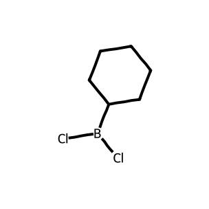 ClB(Cl)C1CCCCC1